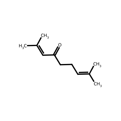 CC(C)=CCCC(=O)C=C(C)C